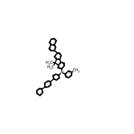 Cc1cccc(N(c2ccc(-c3ccc(-c4ccccc4)cc3)cc2)c2ccc3c(c2)C(C)(C)c2cc(-c4ccc5ccccc5c4)ccc2-3)c1